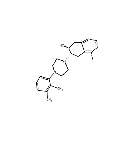 Cc1cccc(N2CCN([C@H]3Cc4c(I)cccc4C[C@@H]3O)CC2)c1C